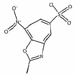 Cc1nc2cc(S(=O)(=O)Cl)cc([N+](=O)[O-])c2o1